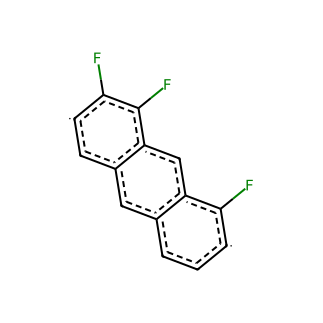 Fc1[c]cc2cc3cc[c]c(F)c3cc2c1F